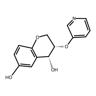 Oc1ccc2c(c1)[C@@H](O)[C@@H](Oc1cccnc1)CO2